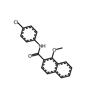 COc1c(C(=O)Nc2ccc(Cl)cc2)ccc2ccccc12